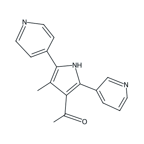 CC(=O)c1c(-c2cccnc2)[nH]c(-c2ccncc2)c1C